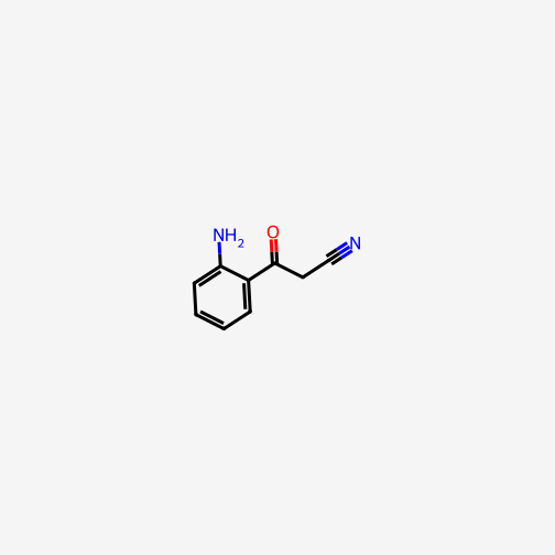 N#CCC(=O)c1ccccc1N